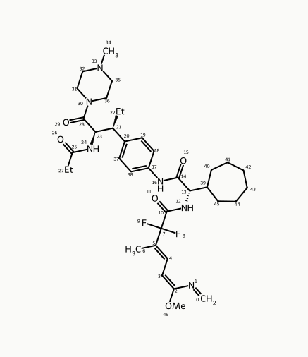 C=N/C(=C\C=C(/C)C(F)(F)C(=O)N[C@H](C(=O)Nc1ccc([C@H](CC)[C@@H](NC(=O)CC)C(=O)N2CCN(C)CC2)cc1)C1CCCCCC1)OC